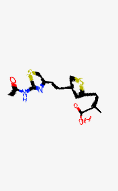 CC(=O)Nc1nc(C=Cc2csc(C=C(C)C(=O)O)c2)cs1